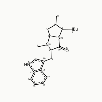 CCC(C)C1C(C)CC2N(C)C(Cc3c[nH]c4ccccc34)C(=O)N12